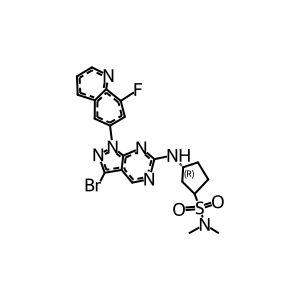 CN(C)S(=O)(=O)C1CC[C@@H](Nc2ncc3c(Br)nn(-c4cc(F)c5ncccc5c4)c3n2)C1